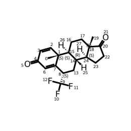 C[C@]12C=CC(=O)C=C1[C@@H](C(F)(F)F)C[C@@H]1[C@@H]2CC[C@]2(C)C(=O)CC[C@@H]12